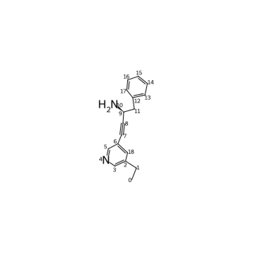 CCc1cncc(C#C[C@@H](N)Cc2ccccc2)c1